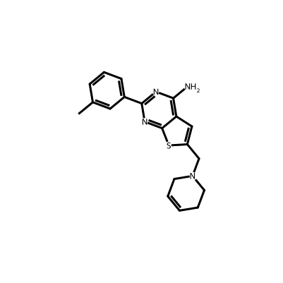 Cc1cccc(-c2nc(N)c3cc(CN4CC=CCC4)sc3n2)c1